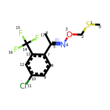 CSCO/N=C(\C)c1ccc(Cl)cc1C(F)(F)F